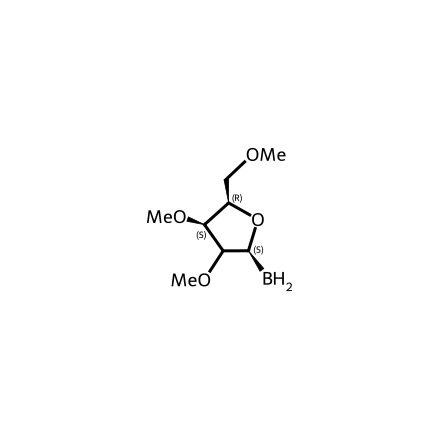 B[C@@H]1O[C@H](COC)[C@H](OC)C1OC